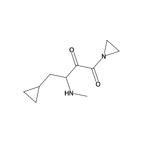 CNC(CC1CC1)C(=O)C(=O)N1CC1